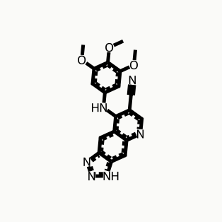 COc1cc(Nc2c(C#N)cnc3cc4[nH]nnc4cc23)cc(OC)c1OC